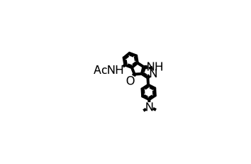 CC(=O)Nc1cccc2c1C(=O)c1c(-c3ccc(N(C)C)cc3)n[nH]c1-2